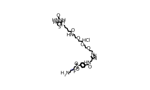 Cl.NC/C=C(\F)CS(=O)(=O)c1ccc(C(=O)NCc2cn(CCOCCOCCOCCNC(=O)CCCC[C@@H]3SC[C@@H]4NC(=O)N[C@@H]43)nn2)cc1